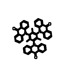 Cc1c(-n2c3ccccc3c(=O)c3ccccc32)c(C)c(-n2c3ccccc3c(=O)c3ccccc32)c(C)c1-n1c2ccccc2c(=O)c2ccccc21